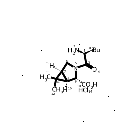 CC[C@H](C)[C@H](N)C(=O)N1C[C@H]2[C@@H]([C@H]1C(=O)O)C2(C)C.Cl